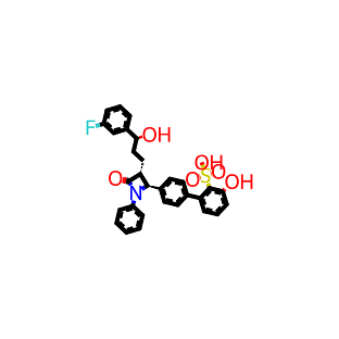 O=C1[C@H](CC[C@H](O)c2cccc(F)c2)[C@@H](c2ccc(-c3cccc(O)c3S(=O)(=O)O)cc2)N1c1ccccc1